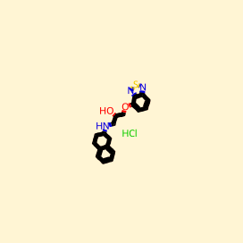 Cl.OC(CNC1CCc2ccccc2C1)COc1cccc2nsnc12